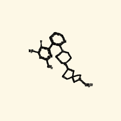 CCOC(=O)N1CC2(CCC(N3CCN(c4ncccc4-c4nc(C)nc(C)c4F)CC3)C2)C1